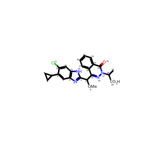 COC(c1nc2cc(C3CC3)c(Cl)cc2[nH]1)c1nn(C(C)C(=O)O)c(=O)c2ccccc12